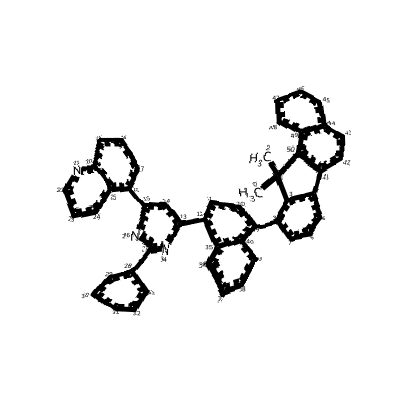 CC1(C)c2c(cccc2-c2ccc(-c3cc(-c4cccc5ncccc45)nc(-c4ccccc4)n3)c3ccccc23)-c2ccc3ccccc3c21